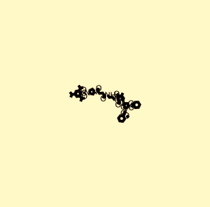 COC1(OC[C@H]2O[C@@H](n3cc(C)c(=O)n(CCCNC(=O)CCC(=O)N4CC5C(C4)N5S(=O)(=O)c4c(C(C)C)cc(C(C)C)cc4C(C)C)c3=O)C[C@@H]2OC2(OC)CCCCC2)CCCCC1